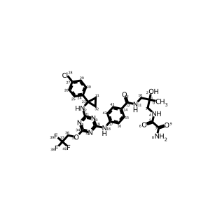 CC(O)(CNC(=O)C(N)=O)CNC(=O)c1ccc(Nc2nc(NC3(c4ccc(Cl)cc4)CC3)nc(OCC(F)(F)F)n2)cc1